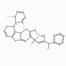 CC(C1=CC2(C)C3=C(CC4C(=C3)CC3=C4C(C4C(F)=CC=CC4F)CC=C3)C[N+]2=C1)c1ccccc1